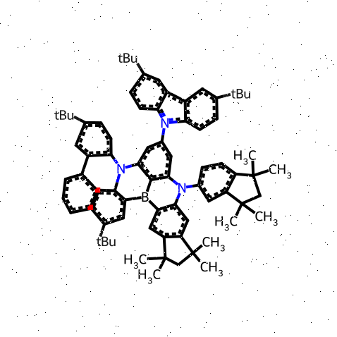 CC(C)(C)c1ccc2c(c1)B1c3cc4c(cc3N(c3ccc5c(c3)C(C)(C)CC5(C)C)c3cc(-n5c6ccc(C(C)(C)C)cc6c6cc(C(C)(C)C)ccc65)cc(c31)N2c1ccc(C(C)(C)C)cc1-c1ccccc1)C(C)(C)CC4(C)C